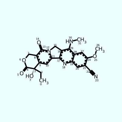 CC[C@@]1(O)C(=O)OCc2c1cc1n(c2=O)Cc2c-1nc1cc(C#N)c(OC)cc1c2NC